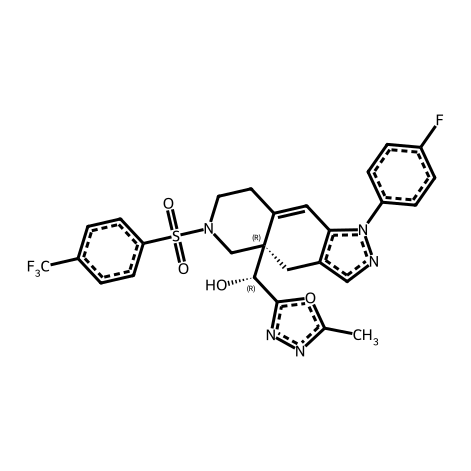 Cc1nnc([C@H](O)[C@]23Cc4cnn(-c5ccc(F)cc5)c4C=C2CCN(S(=O)(=O)c2ccc(C(F)(F)F)cc2)C3)o1